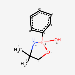 CC1(C)CO[B-](O)(c2ccccc2)N1